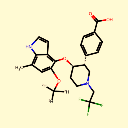 [2H]C([2H])([2H])Oc1cc(C)c2[nH]ccc2c1O[C@@H]1CCN(CC(F)(F)F)C[C@H]1c1ccc(C(=O)O)cc1